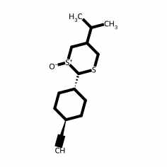 C#C[C@H]1CC[C@H](C2SCC(C(C)C)C[S+]2[O-])CC1